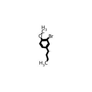 CCC[CH]c1ccc(OC)c(Br)c1